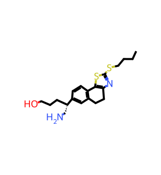 CCCCSc1nc2c(s1)-c1ccc([C@H](CN)CCCO)cc1CC2